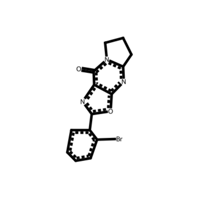 O=c1c2nc(-c3ccccc3Br)oc2nc2n1CCC2